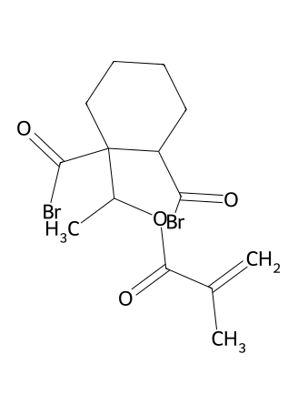 C=C(C)C(=O)OC(C)C1(C(=O)Br)CCCCC1C(=O)Br